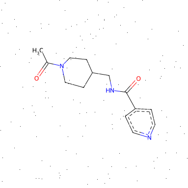 CC(=O)N1CCC(CNC(=O)c2[c]cncc2)CC1